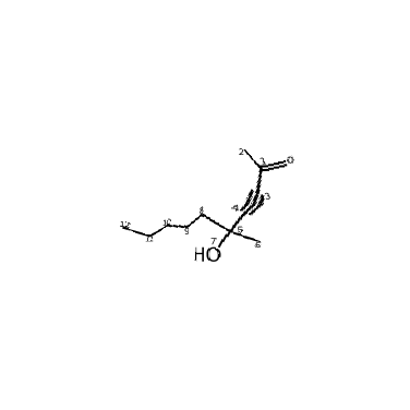 C=C(C)C#CC(C)(O)CCCCC